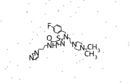 CC(C)N1CCN(CCN(Cc2ccc(F)cc2)c2ncc(C(=O)NCCCn3ccnc3)s2)CC1